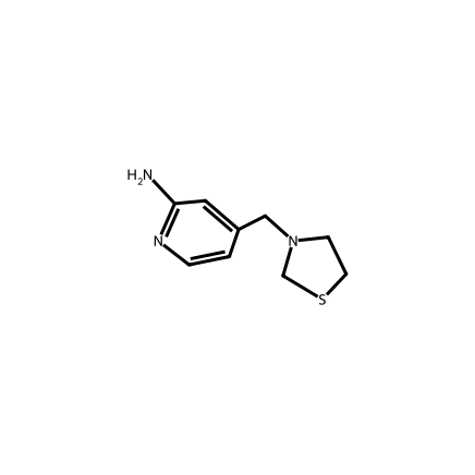 Nc1cc(CN2CCSC2)ccn1